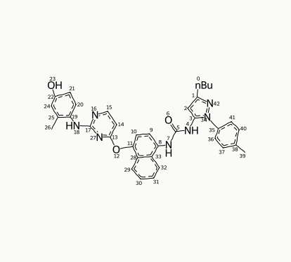 CCCCc1cc(NC(=O)Nc2ccc(Oc3ccnc(Nc4ccc(O)cc4C)n3)c3ccccc23)n(-c2ccc(C)cc2)n1